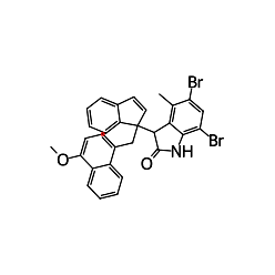 COc1ccc(CC2(C3C(=O)Nc4c(Br)cc(Br)c(C)c43)C=Cc3ccccc32)c2ccccc12